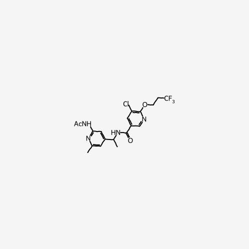 CC(=O)Nc1cc(C(C)NC(=O)c2cnc(OCCC(F)(F)F)c(Cl)c2)cc(C)n1